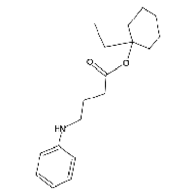 CCC1(OC(=O)CCCNc2ccccc2)CCCCC1